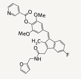 COc1cc(C=C2C(C)=C(CC(=O)NCc3ccco3)c3cc(F)ccc32)cc(OC)c1OC(=O)c1cccnc1